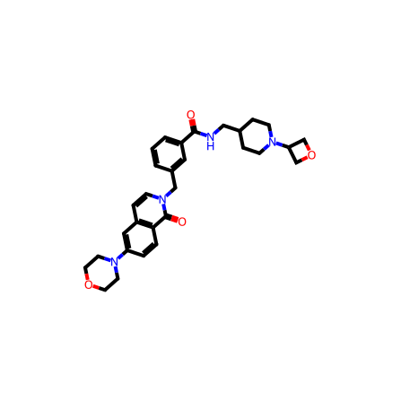 O=C(NCC1CCN(C2COC2)CC1)c1cccc(Cn2ccc3cc(N4CCOCC4)ccc3c2=O)c1